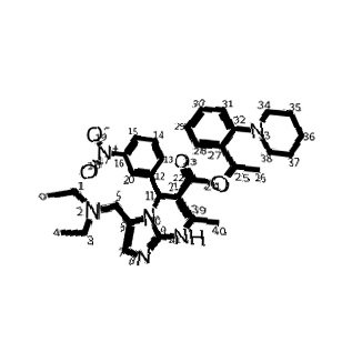 CCN(CC)Cc1cnc2n1C(c1cccc([N+](=O)[O-])c1)C(C(=O)OC(C)c1ccccc1N1CCCCC1)=C(C)N2